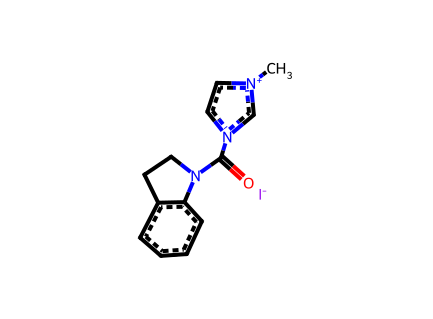 C[n+]1ccn(C(=O)N2CCc3ccccc32)c1.[I-]